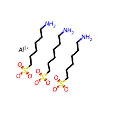 NCCCCCCS(=O)(=O)[O-].NCCCCCCS(=O)(=O)[O-].NCCCCCCS(=O)(=O)[O-].[Al+3]